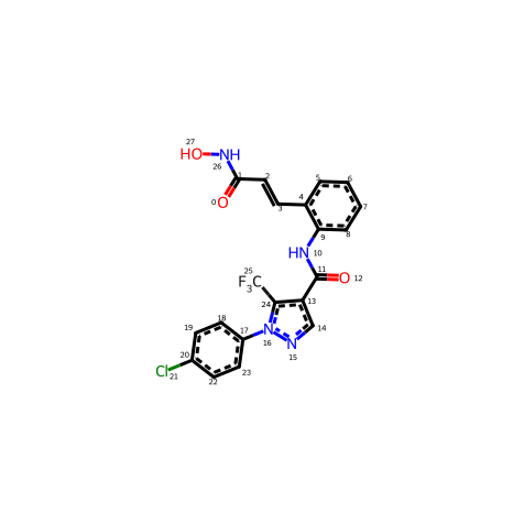 O=C(C=Cc1ccccc1NC(=O)c1cnn(-c2ccc(Cl)cc2)c1C(F)(F)F)NO